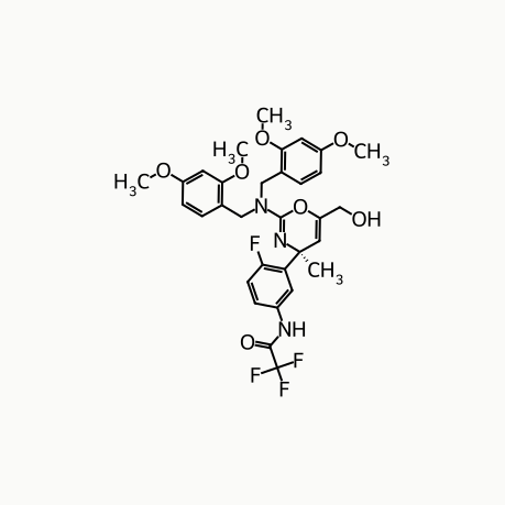 COc1ccc(CN(Cc2ccc(OC)cc2OC)C2=N[C@](C)(c3cc(NC(=O)C(F)(F)F)ccc3F)C=C(CO)O2)c(OC)c1